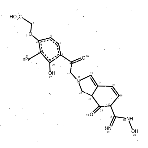 CCCc1c(OCC(=O)O)ccc(C(=O)CN2C=C3C=CC(C(=N)NO)C(=O)C3C2)c1O